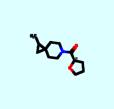 CC1CC12CCN(C(=O)[C@H]1CCCO1)CC2